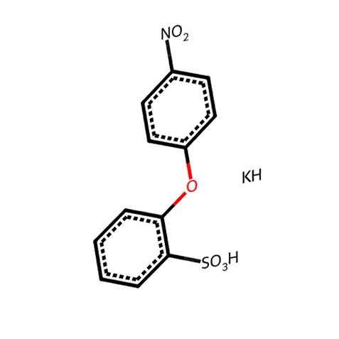 O=[N+]([O-])c1ccc(Oc2ccccc2S(=O)(=O)O)cc1.[KH]